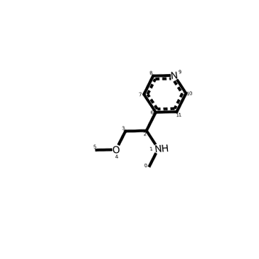 CNC(COC)c1ccncc1